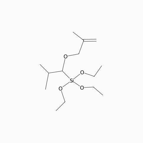 C=C(C)COC(C(C)C)[Si](OCC)(OCC)OCC